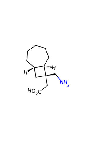 NC[C@@]1(CC(=O)O)C[C@@H]2CCCCC[C@H]21